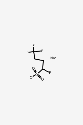 O=S(=O)([O-])C(F)CCC(F)(F)F.[Na+]